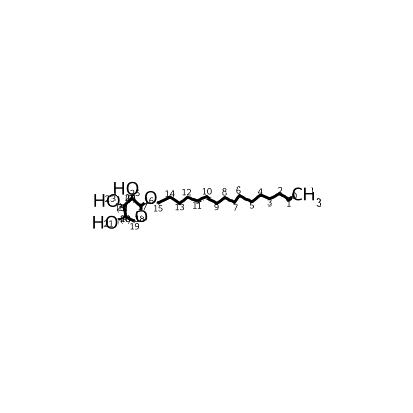 CCCCCCCCCCCCCCCCOC1OC[C@@H](O)[C@H](O)[C@H]1O